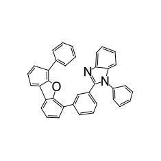 c1ccc(-c2cccc3c2oc2c(-c4cccc(-c5nc6ccccc6n5-c5ccccc5)c4)cccc23)cc1